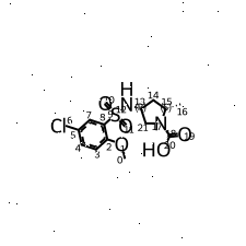 COc1ccc(Cl)cc1S(=O)(=O)N[C@@H]1C[C@H](C)N(C(=O)O)C1